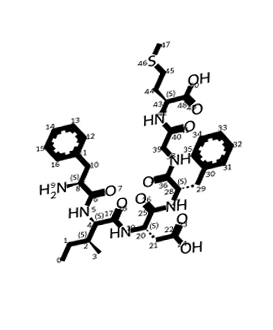 CC[C@H](C)[C@H](NC(=O)[C@@H](N)Cc1ccccc1)C(=O)N[C@@H](CC(=O)O)C(=O)N[C@@H](Cc1ccccc1)C(=O)NCC(=O)N[C@@H](CCSC)C(=O)O